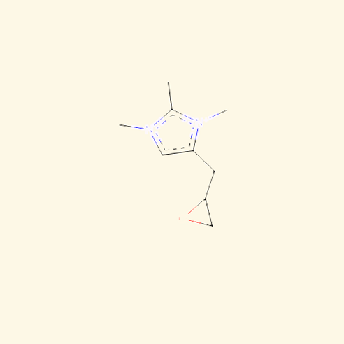 Cc1n(C)cc(CC2CO2)[n+]1C